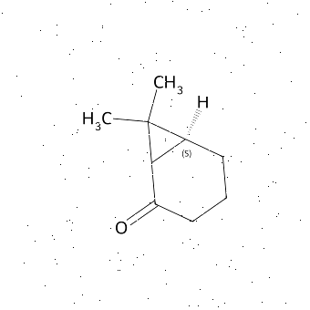 CC1(C)C2C(=O)CCC[C@@H]21